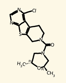 C[C@@H]1CN(C(=O)N2CCc3c(sc4ncnc(Cl)c34)C2)C[C@@H](C)O1